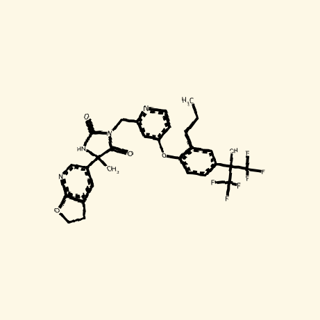 CCCc1cc(C(O)(C(F)(F)F)C(F)(F)F)ccc1Oc1ccnc(CN2C(=O)NC(C)(c3cnc4c(c3)CCO4)C2=O)c1